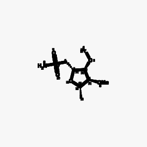 CO[C@@H]1[C@H](OC(C)C)[C@@H](CS(N)(=O)=O)O[C@H]1C